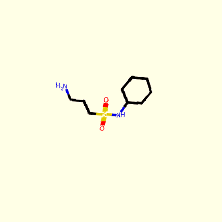 NCCCS(=O)(=O)NC1CCCCC1